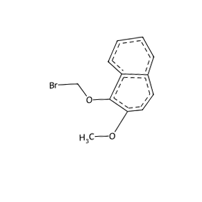 COc1ccc2ccccc2c1OCBr